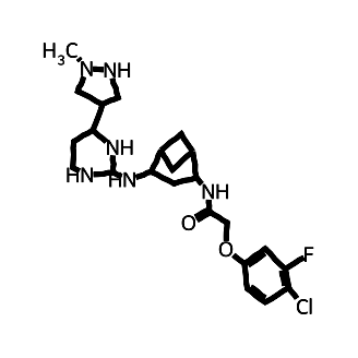 CN1CC(C2CCNC(NC3CC(NC(=O)COc4ccc(Cl)c(F)c4)C4CC3C4)N2)CN1